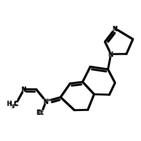 CC[N+](/C=N\C)=C1/C=C2C=C(N3C=NCC3)CCC2CC1